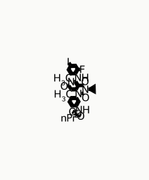 CCCS(=O)(=O)Nc1cccc(-n2c(=O)n(C3CC3)c(=O)c3c(Nc4ccc(I)cc4F)n(C)c(=O)c(C)c32)c1